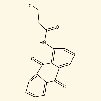 O=C(CCCl)Nc1cccc2c1C(=O)c1ccccc1C2=O